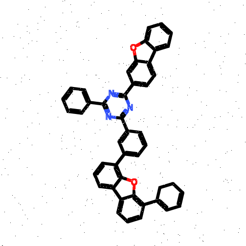 C1=CCCC(c2cccc3c2oc2c(-c4cccc(-c5nc(-c6ccccc6)nc(-c6ccc7c(c6)oc6ccccc67)n5)c4)cccc23)=C1